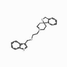 c1ccc2c(c1)COC21CCN(CCOCc2csc3ccccc23)CC1